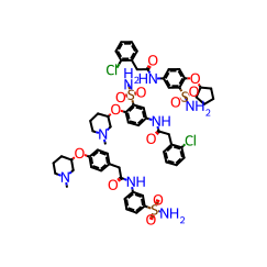 CN1CCCC(Oc2ccc(CC(=O)Nc3cccc(S(N)(=O)=O)c3)cc2)C1.CN1CCCC(Oc2ccc(NC(=O)Cc3ccccc3Cl)cc2S(N)(=O)=O)C1.NS(=O)(=O)c1cc(NC(=O)Cc2ccccc2Cl)ccc1OC1CCCC1